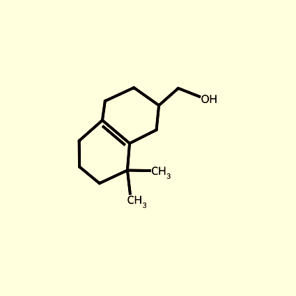 CC1(C)CCCC2=C1CC(CO)CC2